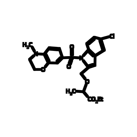 CCOC(=O)C(C)OCc1cc2cc(Cl)ccc2n1S(=O)(=O)c1ccc2c(c1)OCCN2C